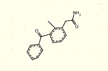 Cc1c(CC(N)=O)cccc1C(=O)c1ccccc1